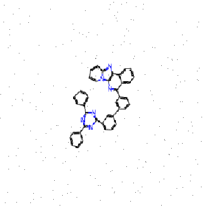 c1ccc(-c2nc(-c3ccccc3)nc(-c3cccc(-c4cccc(-c5nc6c(nc7ccccn76)c6ccccc56)c4)c3)n2)cc1